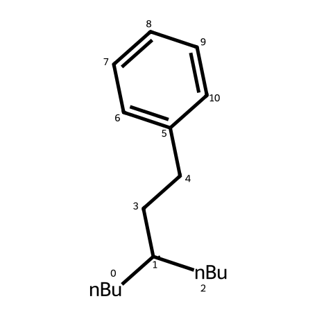 CCCC[C](CCCC)CCc1ccccc1